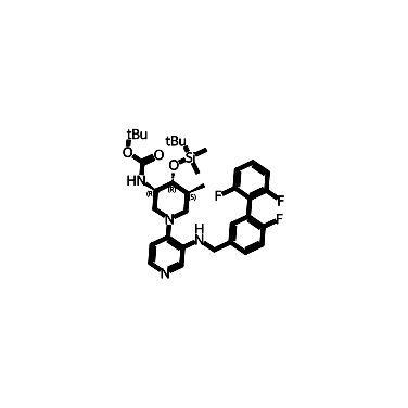 C[C@H]1CN(c2ccncc2NCc2ccc(F)c(-c3c(F)cccc3F)c2)C[C@@H](NC(=O)OC(C)(C)C)[C@@H]1O[Si](C)(C)C(C)(C)C